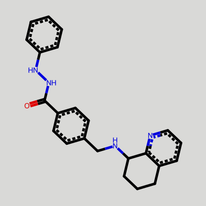 O=C(NNc1ccccc1)c1ccc(CNC2CCCc3cccnc32)cc1